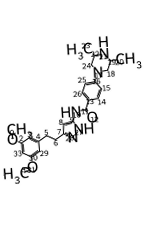 COc1cc(CCc2cc(NC(=O)c3ccc(N4CC(C)NC(C)C4)cc3)[nH]n2)cc(OC)c1